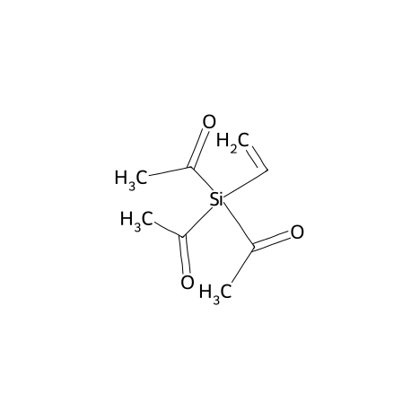 C=C[Si](C(C)=O)(C(C)=O)C(C)=O